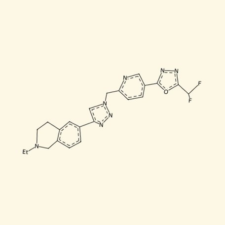 CCN1CCc2cc(-c3cn(Cc4ccc(-c5nnc(C(F)F)o5)cn4)nn3)ccc2C1